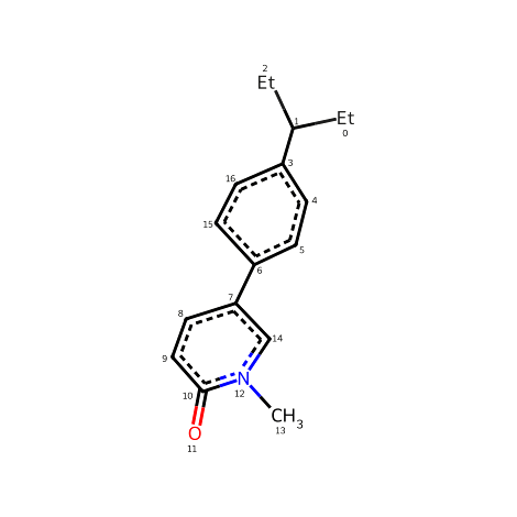 CCC(CC)c1ccc(-c2ccc(=O)n(C)c2)cc1